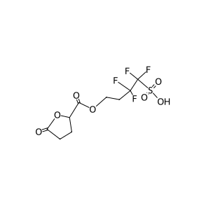 O=C1CCC(C(=O)OCCC(F)(F)C(F)(F)S(=O)(=O)O)O1